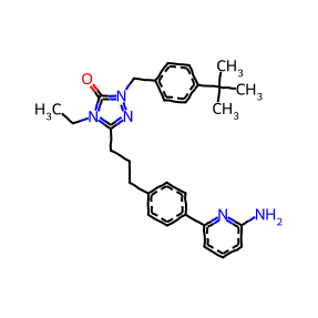 CCn1c(CCCc2ccc(-c3cccc(N)n3)cc2)nn(Cc2ccc(C(C)(C)C)cc2)c1=O